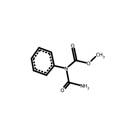 COC(=O)N(C(N)=O)c1ccccc1